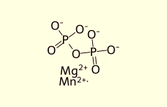 O=P([O-])([O-])OP(=O)([O-])[O-].[Mg+2].[Mn+2]